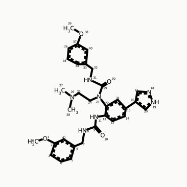 COc1cccc(CNC(=O)Nc2ccc(-c3cn[nH]c3)cc2N(CCN(C)C)C(=O)NCc2cccc(OC)c2)c1